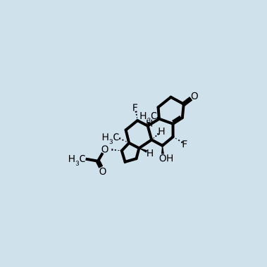 CC(=O)O[C@H]1CC[C@H]2[C@@H]3[C@H](O)[C@@H](F)C4=CC(=O)CC[C@]4(C)[C@H]3[C@@H](F)C[C@]12C